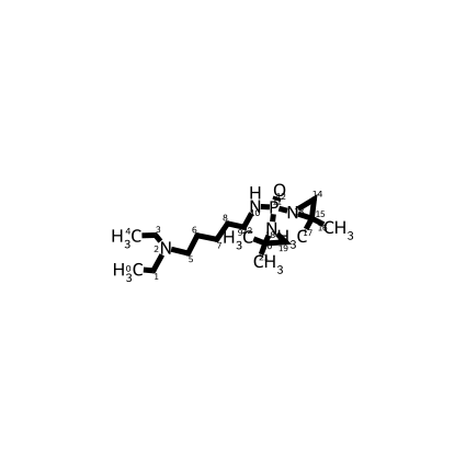 CCN(CC)CCCCCNP(=O)(N1CC1(C)C)N1CC1(C)C